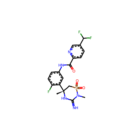 CN1C(=N)N[C@](C)(c2cc(NC(=O)c3ccc(C(F)F)cn3)ccc2F)CS1(=O)=O